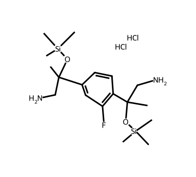 CC(CN)(O[Si](C)(C)C)c1ccc(C(C)(CN)O[Si](C)(C)C)c(F)c1.Cl.Cl